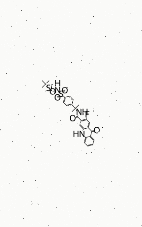 CC(C)(NC(=O)c1cc2[nH]c3ccccc3c(=O)c2cc1F)c1ccc(S(=O)(=O)NO[Si](C)(C)C(C)(C)C)cc1